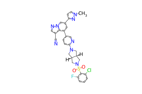 Cn1ccc(-c2cc(-c3ccc(N4C[C@@H]5CN(S(=O)(=O)c6c(F)cccc6Cl)C[C@@H]5C4)nc3)c3c(C#N)cnn3c2)n1